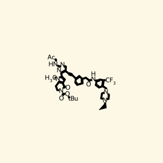 CC(=O)CNc1ncc(C#Cc2cccc(CC(=O)Nc3ccc(CN4CCN(C5CC5)CC4)c(C(F)(F)F)c3)c2)c(-c2cc3c(n2C)CCN(C(=O)OC(C)(C)C)C3=O)n1